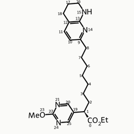 CCOC(=O)[C@H](CCCCCCCc1ccc2c(n1)NCCC2)c1cnc(OC)nc1